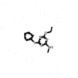 CCOc1nc(NC)nc(Sc2ccccc2)n1